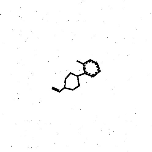 C=CC1CCC(c2ccccc2C)CC1